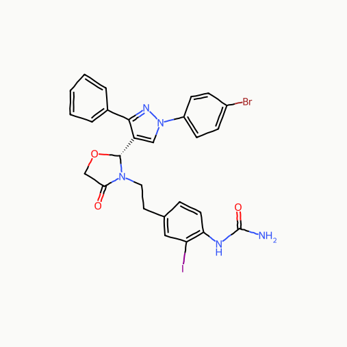 NC(=O)Nc1ccc(CCN2C(=O)CO[C@@H]2c2cn(-c3ccc(Br)cc3)nc2-c2ccccc2)cc1I